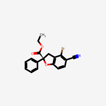 CCOC(=O)[C@@]1(c2ccccc2)Cc2c(ccc(C#N)c2Br)O1